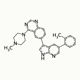 Cc1ccccc1-c1cnc2[nH]cc(-c3ccc4ncnc(N5CCN(C)CC5)c4c3)c2c1